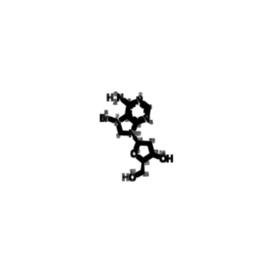 Nc1ncnc2c1N(Br)CN2[C@H]1CC(O)[C@@H](CO)O1